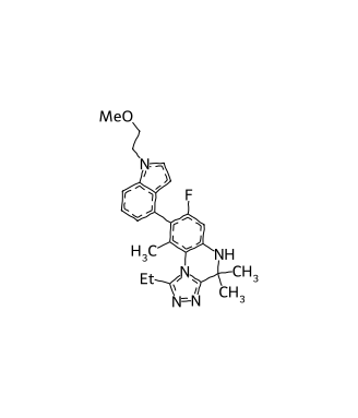 CCc1nnc2n1-c1c(cc(F)c(-c3cccc4c3ccn4CCOC)c1C)NC2(C)C